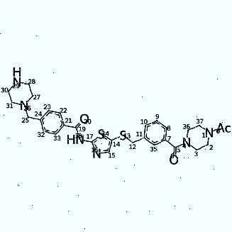 CC(=O)N1CCN(C(=O)c2cccc(CSc3cnc(NC(=O)c4ccc(CN5CCNCC5)cc4)s3)c2)CC1